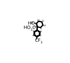 O=C(O)[C@]1(c2ccc(C(F)(F)F)cc2)CCCC[C@@H]1O